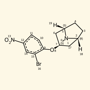 CN1[C@@H]2CC[C@H]1C[C@H](Oc1ccc([N+](=O)[O-])cc1Br)C2